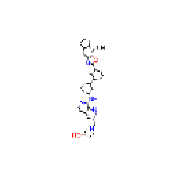 Cc1c(Nc2nccc3cc(CN4CC[C@@H](O)C4)cnc23)cccc1-c1cccc(-c2nc3cc4c(c(C#N)c3o2)CCC4C)c1C